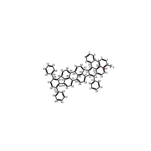 Fc1ccc(-c2ccccc2-c2c3c(c(-c4ccccc4)c4ccccc24)-c2ccc4c5ccc6c7c(ccc(c8ccc-3c2c48)c75)-c2c(-c3ccccc3)ccc(-c3ccccc3)c2-6)cc1